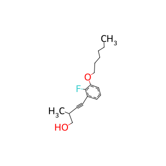 CCCCCCOc1cccc(C#CC(C)CO)c1F